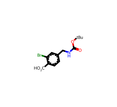 CC(C)(C)OC(=O)NCc1ccc(C(=O)O)c(Br)c1